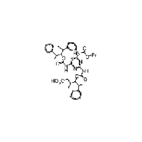 CC(C)OC(=O)Nc1nc(NC(=O)OC(C(C)CC(=O)O)C(C)c2ccccc2)nc(NC(=O)OC(C(C)c2ccccc2)C(C)c2ccccc2)n1